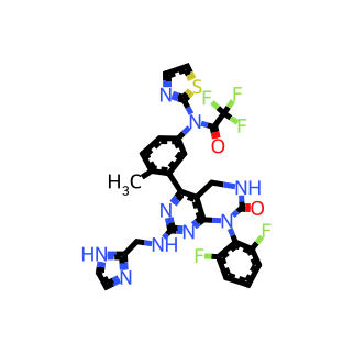 Cc1ccc(N(C(=O)C(F)(F)F)c2nccs2)cc1-c1nc(NCc2ncc[nH]2)nc2c1CNC(=O)N2c1c(F)cccc1F